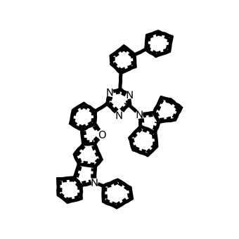 c1ccc(-c2cccc(-c3nc(-c4cccc5c4oc4cc6c(cc45)c4ccccc4n6-c4ccccc4)nc(-n4c5ccccc5c5ccccc54)n3)c2)cc1